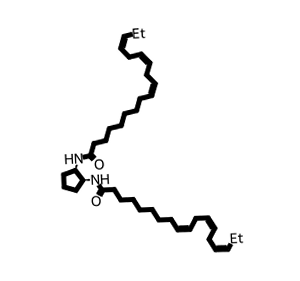 CC/C=C\C/C=C\C/C=C\CCCCCCCC(=O)N[C@H]1CCC[C@H]1NC(=O)CCCCCCC/C=C\C/C=C\C/C=C\CC